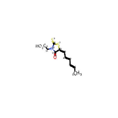 CC=CC=CC=C1SC(=S)N(CC(=O)O)C1=O